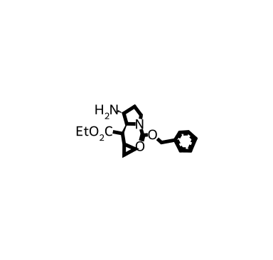 CCOC(=O)C(C1CC1)[C@H]1[C@H](N)CCN1C(=O)OCc1ccccc1